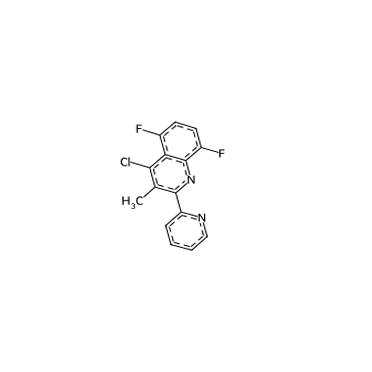 Cc1c(-c2ccccn2)nc2c(F)ccc(F)c2c1Cl